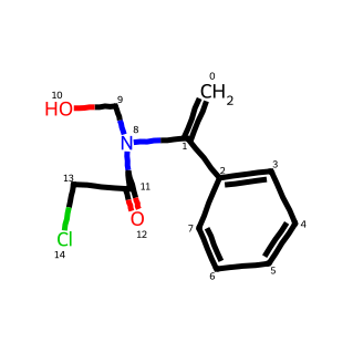 C=C(c1ccccc1)N(CO)C(=O)CCl